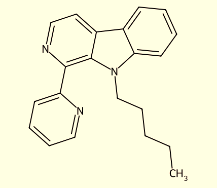 CCCCCn1c2ccccc2c2ccnc(-c3ccccn3)c21